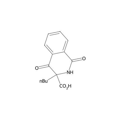 CCCCC1(C(=O)O)NC(=O)c2ccccc2C1=O